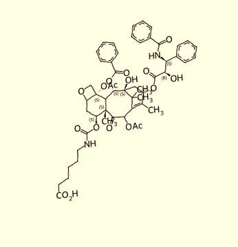 CC(=O)OC1C(=O)[C@@]2(C)C([C@H](OC(=O)c3ccccc3)[C@]3(O)C[C@H](OC(=O)[C@H](O)[C@@H](NC(=O)c4ccccc4)c4ccccc4)C(C)=C1C3(C)C)[C@]1(OC(C)=O)COC1C[C@@H]2OC(=O)NCCCCCC(=O)O